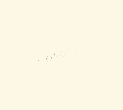 CCCCOc1ccc2c(c1)CCN(c1ccc(N3CCC(N4CCC(O)C4)C3)cc1)C2=O